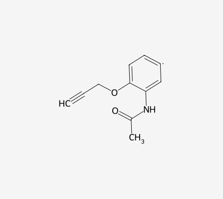 C#CCOc1cc[c]cc1NC(C)=O